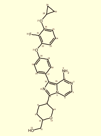 Nc1nccn2c(C3CCC(CO)OC3)nc(-c3ccc(Oc4cccc(OC5CC5)c4F)cc3)c12